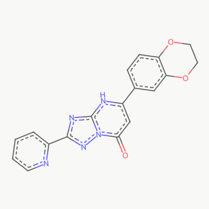 O=c1cc(-c2ccc3c(c2)OCCO3)[nH]c2nc(-c3ccccn3)nn12